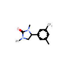 Cc1cc(C2CN(C(C)C)C(=O)N2C)cc(C(F)(F)F)c1